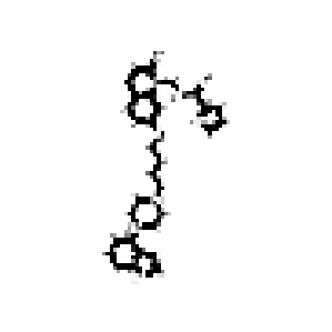 O=C(OCn1c(=O)ccc2ccc(OCCCCN3CCN(c4cccc5sccc45)CC3)cc21)c1cccs1